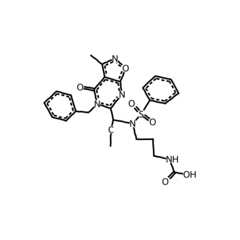 CCC(c1nc2onc(C)c2c(=O)n1Cc1ccccc1)N(CCCNC(=O)O)S(=O)(=O)c1ccccc1